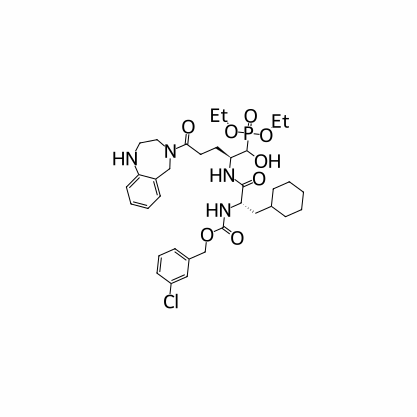 CCOP(=O)(OCC)C(O)[C@H](CCC(=O)N1CCNc2ccccc2C1)NC(=O)[C@H](CC1CCCCC1)NC(=O)OCc1cccc(Cl)c1